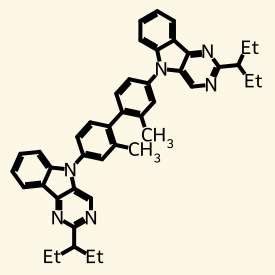 CCC(CC)c1ncc2c(n1)c1ccccc1n2-c1ccc(-c2ccc(-n3c4ccccc4c4nc(C(CC)CC)ncc43)cc2C)c(C)c1